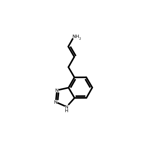 NC=CCc1cccc2[nH]nnc12